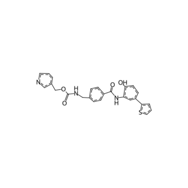 O=C(NCc1ccc(C(=O)Nc2cc(-c3cccs3)ccc2O)cc1)OCc1cccnc1